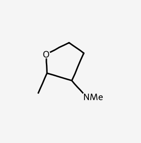 CNC1CCOC1C